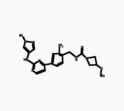 CC(C)n1cc(Nc2nccc(-c3ccc(CNC(=O)N4CC(OC(C)(C)C)C4)c(C(F)(F)F)c3)n2)cn1